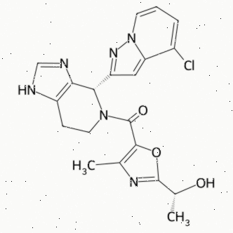 Cc1nc([C@@H](C)O)oc1C(=O)N1CCc2[nH]cnc2[C@@H]1c1cc2c(Cl)cccn2n1